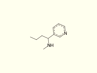 CCCC(NC)c1cccnc1